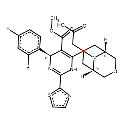 COC(=O)C1=C(CN2[C@@H]3COC[C@H]2CC(CC(=O)O)C3)NC(c2nccs2)=N[C@H]1c1ccc(F)cc1Br